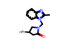 CCCC1CC(=O)N(Cn2c(C)nc3ccccc32)C1